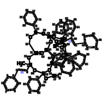 C[Si]1(/C=C/c2ccccc2)O[SiH]2CO[Si]3(c4ccccc4)O[SiH](c4ccccc4)O[Si]4(c5ccccc5)O[Si](C)(/C=C/c5ccccc5)O[Si](c5ccccc5)(O3)O[Si](c3ccccc3)(O2)O[Si](c2ccccc2)(O[Si](O[SiH3])(c2ccccc2)O1)O4